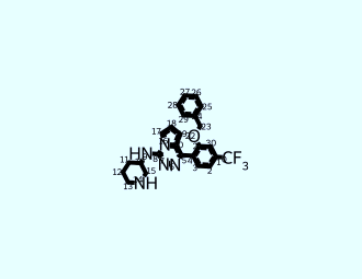 FC(F)(F)c1ccc(-c2nnc(NC3CCCNC3)n3cccc23)c(OCc2ccccc2)c1